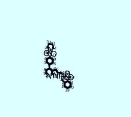 O=S(=O)(c1ccc(-c2ccnc3[nH]c(CN4Cc5ccccc5S4(=O)=O)cc23)cc1)N1CCCC1